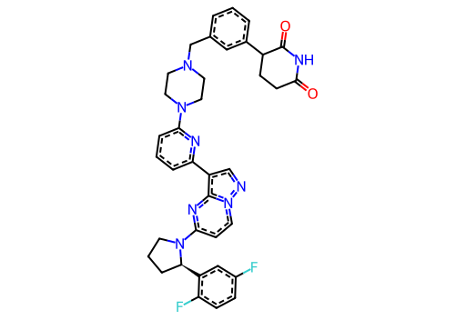 O=C1CCC(c2cccc(CN3CCN(c4cccc(-c5cnn6ccc(N7CCC[C@@H]7c7cc(F)ccc7F)nc56)n4)CC3)c2)C(=O)N1